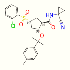 Cc1ccc(C(C)(C)O[C@@H]2C[C@H](S(=O)(=O)c3ccccc3Cl)C[C@H]2C(=O)NC2(C#N)CC2)cc1